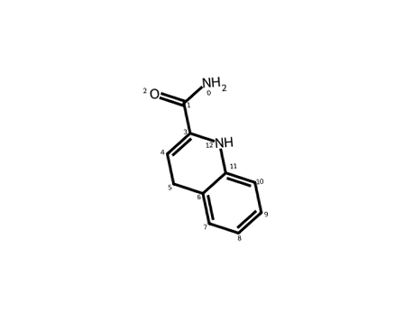 NC(=O)C1=CCc2ccccc2N1